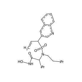 C=CC(c1cnc2ccccc2c1)S(=O)(=O)N(CCC(C)C)C(C(=O)NO)C(C)C